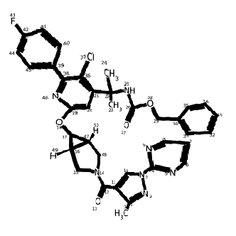 Cc1nn(-c2ncccn2)cc1C(=O)N1C[C@@H]2C(Oc3cc(C(C)(C)NC(=O)OCc4ccccc4)c(Cl)c(-c4ccc(F)cc4)n3)[C@@H]2C1